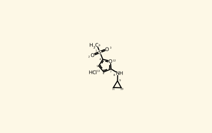 CS(=O)(=O)c1ccc(NC2CC2)o1.Cl